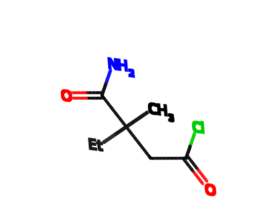 CCC(C)(CC(=O)Cl)C(N)=O